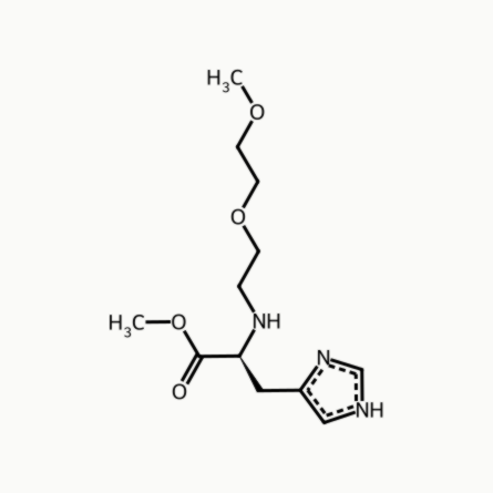 COCCOCCN[C@@H](Cc1c[nH]cn1)C(=O)OC